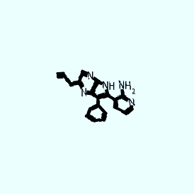 C=CCc1cnc2[nH]c(-c3cccnc3N)c(-c3ccccc3)c2n1